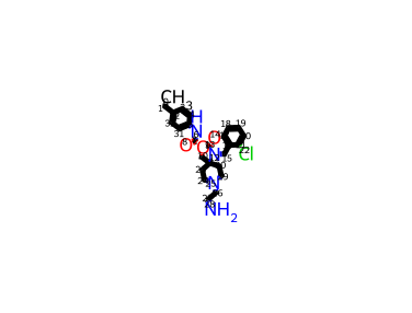 CCc1ccc(NC(=O)OCC2(N(C=O)Cc3ccccc3Cl)CCN(CCN)CC2)cc1